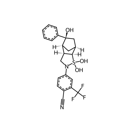 N#Cc1ccc(N2C[C@@H]3[C@@H]([C@H]4C[C@@H]3[C@](O)(c3ccccc3)C4)S2(O)O)cc1C(F)(F)F